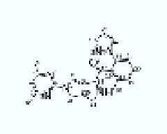 Cc1cc(C)nc(N2C=C3C(CNC3C(=O)c3c(C)cccc3-n3nccn3)C2)n1